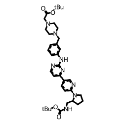 CC(C)(C)OC(=O)CN1CCN(Cc2cccc(Nc3nccc(-c4ccc(N5CCCC5CNC(=O)OC(C)(C)C)nc4)n3)c2)CC1